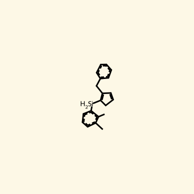 Cc1cccc([SiH2]C2=C(Cc3ccccc3)C=CC2)c1C